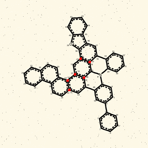 c1ccc(-c2ccc(N(c3cccc(-c4cccc5c4ccc4ccccc45)c3)c3ccccc3-c3ccc4oc5ccccc5c4c3)c(-c3ccccc3)c2)cc1